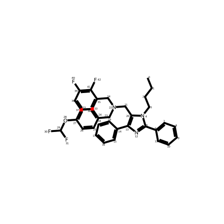 CCCCn1c(-c2ccccc2)nc(-c2ccccc2)c1CN(Cc1ccc(OC(F)F)cc1)Cc1cccc(F)c1F